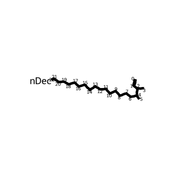 C=CC(C)C(C)CCCCCCCCCCCCCCCCCCCCCCCCCC